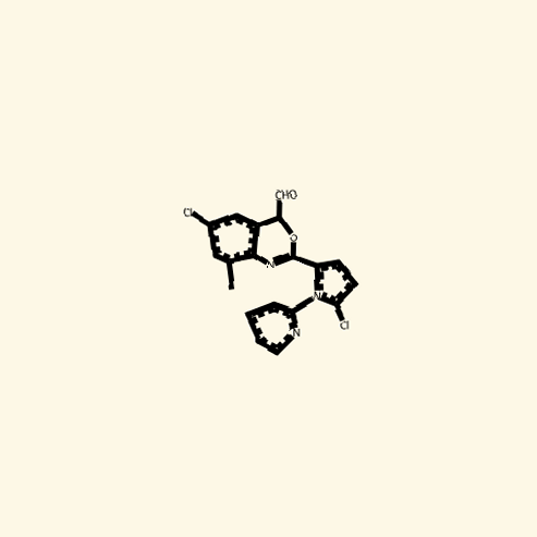 Cc1cc(Cl)cc2c1N=C(c1ccc(Cl)n1-c1ccccn1)OC2C=O